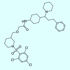 O=C(COCC1CCCN(S(=O)(=O)c2c(Cl)cc(Cl)cc2Cl)C1)NC1CCC(C(CCc2ccccc2)N2CCCCC2)CC1